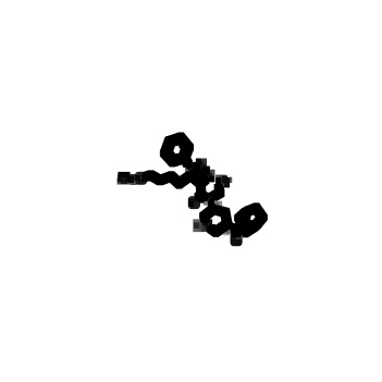 COCCCCc1c(C(=O)N(CC(C)C)[C@@H]2CNC[C@H](C(=O)N3C4CCC3CC4)C2)nnn1-c1ccccc1